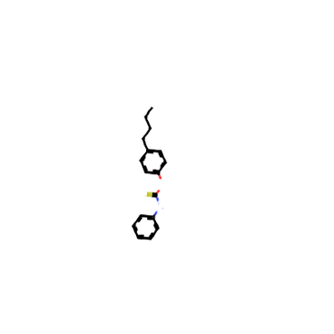 CCCCc1ccc(OC(=S)Nc2ccccc2)cc1